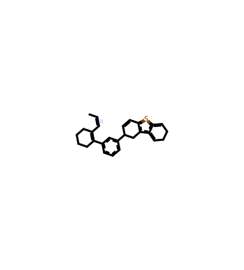 C/C=C\C1=C(c2cccc(C3C=Cc4sc5c(c4C3)=CCCC=5)c2)CCCC1